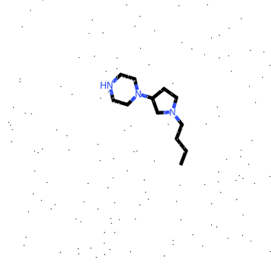 CCCCN1CCC(N2CCNCC2)C1